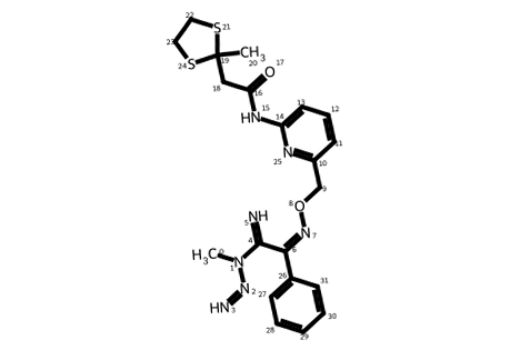 CN(N=N)C(=N)/C(=N\OCc1cccc(NC(=O)CC2(C)SCCS2)n1)c1ccccc1